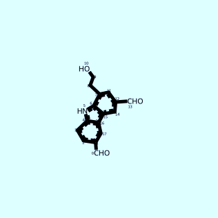 O=Cc1ccc2[nH]c3c(CCO)cc(C=O)cc3c2c1